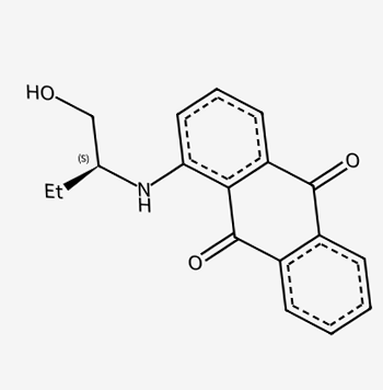 CC[C@@H](CO)Nc1cccc2c1C(=O)c1ccccc1C2=O